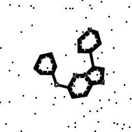 c1ccc(Oc2ccc3ncc(-c4ccncc4)n3n2)cc1